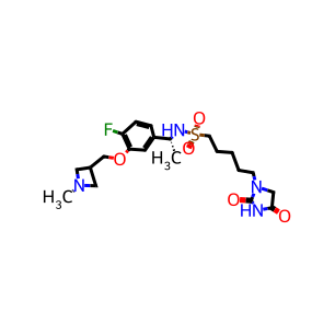 C[C@@H](NS(=O)(=O)CCCCCN1CC(=O)NC1=O)c1ccc(F)c(OCC2CN(C)C2)c1